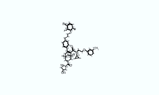 Cc1cccc(OCCN(C(=O)C2=C(c3ccc(CCCOc4c(F)ccc(F)c4F)cc3)C[C@H]3CN(C(=O)C4CC(O)CN4)C[C@@H]2N3)C2CC2)c1